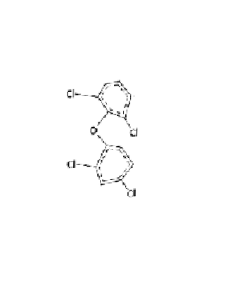 Clc1ccc(Oc2c(Cl)[c]ccc2Cl)c(Cl)c1